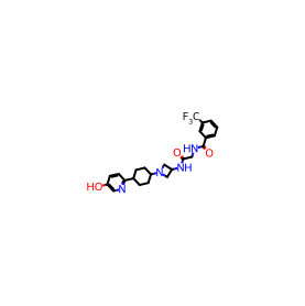 O=C(CNC(=O)c1cccc(C(F)(F)F)c1)NC1CN(C2CCC(c3ccc(O)cn3)CC2)C1